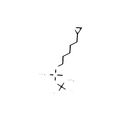 COC(OC)(OC)O[Si](C)(OC)OCCCCCC1CO1